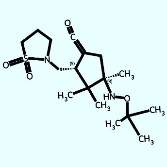 CC(C)(C)ON[C@]1(C)CC(=C=O)[C@@H](CN2CCCS2(=O)=O)C1(C)C